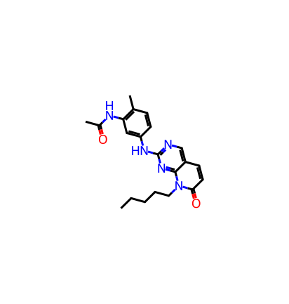 CCCCCn1c(=O)ccc2cnc(Nc3ccc(C)c(NC(C)=O)c3)nc21